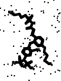 CCCCCS(=O)(=O)NC(=O)C=Cc1ccc(OCCOC)cc1Oc1ncc(N(S(C)(=O)=O)S(C)(=O)=O)cc1C